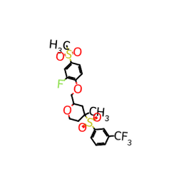 CC1(S(=O)(=O)c2cccc(C(F)(F)F)c2)CCOC(COc2ccc(S(C)(=O)=O)cc2F)C1